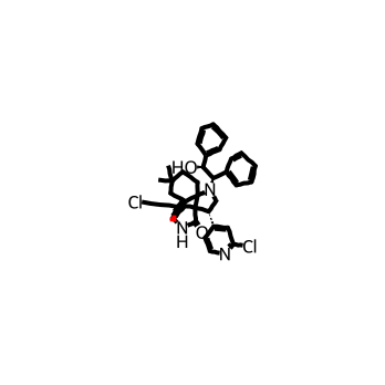 CC1(C)CCC2(CC1)N([C@H](c1ccccc1)[C@@H](O)c1ccccc1)C[C@H](c1ccnc(Cl)c1)C21C(=O)Nc2cc(Cl)ccc21